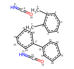 Cc1ccccc1C.N=C=O.N=C=O.c1ccc(-c2ccccc2)cc1